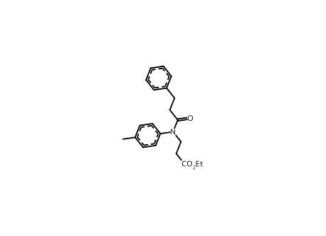 CCOC(=O)CCN(C(=O)CCc1ccccc1)c1ccc(C)cc1